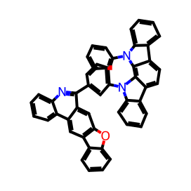 c1ccc(-n2c3ccccc3c3ccc4c5ccccc5n(-c5cccc(-c6nc7ccccc7c7cc8c(cc67)oc6ccccc68)c5)c4c32)cc1